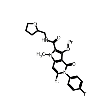 CCc1cc2c(c(OC(C)C)c(C(=O)NCC3CCCO3)n2C)c(=O)n1-c1ccc(F)cc1